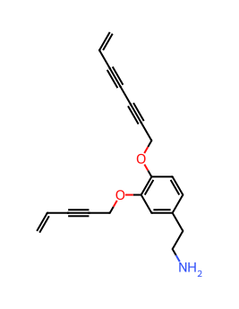 C=CC#CC#CCOc1ccc(CCN)cc1OCC#CC=C